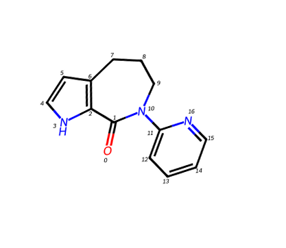 O=C1c2[nH]ccc2CCCN1c1ccccn1